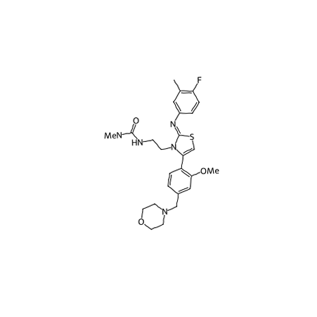 CNC(=O)NCCn1c(-c2ccc(CN3CCOCC3)cc2OC)csc1=Nc1ccc(F)c(C)c1